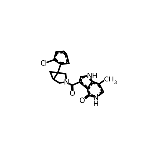 Cc1c[nH]c(=O)c2c(C(=O)N3CC4CC4(c4ccccc4Cl)C3)c[nH]c12